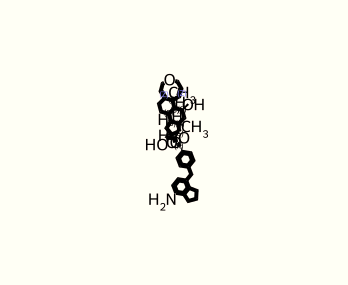 C[C@]12/C=C\COC/C=C\1CC[C@@H]1[C@@H]2[C@@H](O)C[C@@]2(C)[C@H]1C[C@H]1O[C@@H](c3ccc(Cc4ccc(N)c5c4CCC5)cc3)O[C@]12C(=O)CO